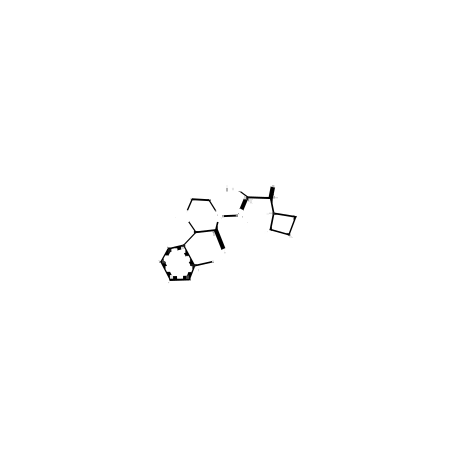 C=C1C(c2ccccc2F)OCCN1/N=C(/C(=O)C1CCC1)C(C)CC